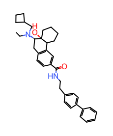 CCN(CC1CCC1)[C@@H]1Cc2ccc(C(=O)NCCc3ccc(-c4ccccc4)cc3)cc2C2CCCC[C@]21O